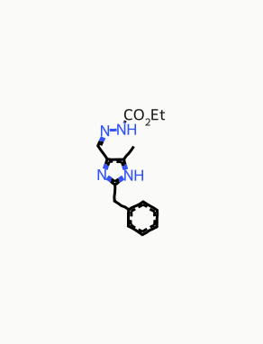 CCOC(=O)N/N=C\c1nc(Cc2ccccc2)[nH]c1C